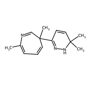 CC1=CC=CC(C)(C2=NNC(C)(C)C=C2)C=N1